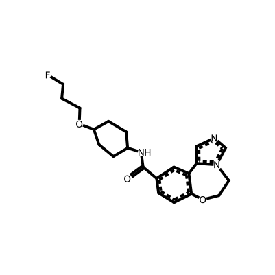 O=C(NC1CCC(OCCCF)CC1)c1ccc2c(c1)-c1cncn1CCO2